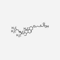 CC(C)CCC[C@@H](C)[C@H]1CCC2C3CC=C4C[C@@H](OCCCSCC(=O)O)CC[C@]4(C)C3CC[C@@]21C